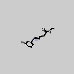 CCOC(=O)CC/C=C/c1cccc(O)c1